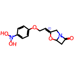 O=C1CC2O/C(=C\COc3ccc(N(O)O)cc3)CN12